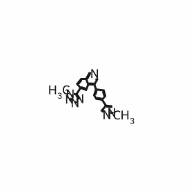 Cn1cc(-c2ccc(-c3cncc4ccc(-c5nnnn5C)cc34)cc2)cn1